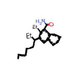 CC=CCCC(CC)c1cc2ccccc2c(C(N)=O)c1CC